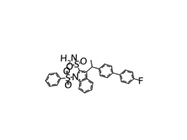 CC(c1ccc(-c2ccc(F)cc2)cc1)c1c(S(N)(=O)=O)n(S(=O)(=O)c2ccccc2)c2ccccc12